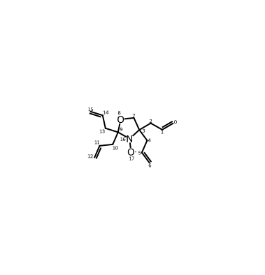 C=CCC1(CC=C)COC(CC=C)(CC=C)N1[O]